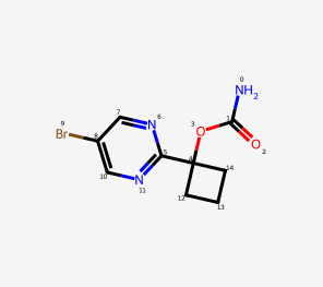 NC(=O)OC1(c2ncc(Br)cn2)CCC1